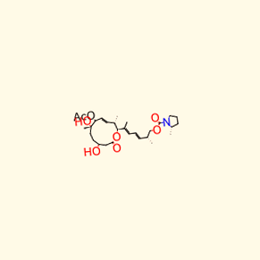 CC(=O)O[C@H]1/C=C/[C@H](C)[C@@H](/C(C)=C/C=C/[C@@H](C)COC(=O)N2CCC[C@@H]2C)OC(=O)C[C@@H](O)CC[C@]1(C)O